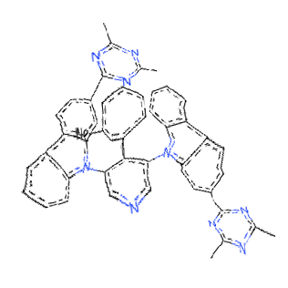 Cc1nc(C)nc(-c2ccc3c4ccccc4n(-c4cncc(-n5c6ccccc6c6ccc(-c7nc(C)nc(C)n7)cc65)c4-c4ccccc4C#N)c3c2)n1